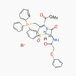 COC(=O)C1=C(C[P+](c2ccccc2)(c2ccccc2)c2ccccc2)C[S@+]([O-])[C@@H]2[C@H](NC(=O)COc3ccccc3)C(=O)N12.[Br-]